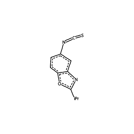 CC(C)c1nc2cc(N=C=S)ccc2o1